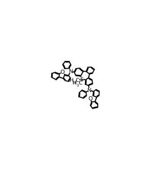 CS1(C)c2cc(N(c3ccccc3)c3cccc4c3oc3ccccc34)ccc2-c2ccccc2-c2ccc(N(c3ccccc3)c3cccc4c3oc3ccccc34)cc21